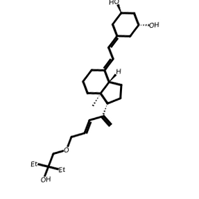 C=C(/C=C/COCC(O)(CC)CC)[C@H]1CC[C@H]2/C(=C/C=C3C[C@@H](O)C[C@H](O)C3)CCC[C@]12C